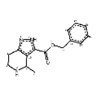 CC1NCCc2n[nH]c(C(=O)OCc3ccccc3)c21